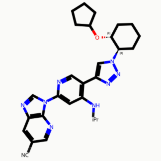 CC(C)Nc1cc(-n2cnc3cc(C#N)cnc32)ncc1-c1cn([C@@H]2CCCC[C@H]2OC2CCCC2)nn1